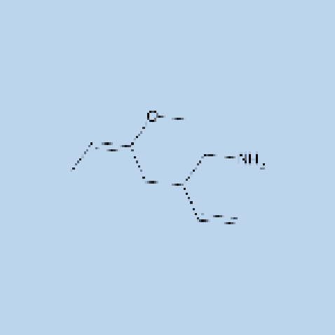 C=CC(CN)C/C(=C\C)OC